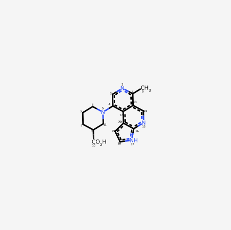 Cc1ncc(N2CCCC(C(=O)O)C2)c2c1cnc1[nH]ccc12